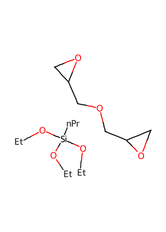 C(OCC1CO1)C1CO1.CCC[Si](OCC)(OCC)OCC